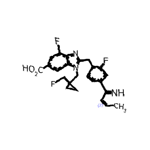 C/C=C\C(=N)c1ccc(Cc2nc3c(F)cc(C(=O)O)cc3n2CC2(CF)CC2)c(F)c1